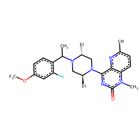 CC[C@H]1CN(C(C)c2ccc(OC(F)(F)F)cc2F)[C@H](CC)CN1c1nc(=O)n(C)c2ccc(C#N)nc12